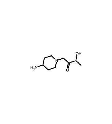 CN(O)C(=O)CN1CCC(N)CC1